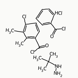 CC(C)(C)NN.Cc1c(Cl)ccc(C(=O)Cl)c1C.Cl.O=C(Cl)c1ccccc1